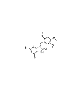 COc1cc(OC)c(OC)cc1C=C1C(=O)Nc2c(Br)cc(Br)c(C)c21